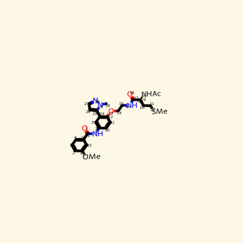 COc1cccc(C(=O)Nc2ccc(OCCNC(=O)[C@H](CCSC)NC(C)=O)c(-c3ccnn3C)c2)c1